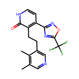 Cc1cncc(CCc2c(-c3noc(C(F)(F)F)n3)cc[nH]c2=O)c1C